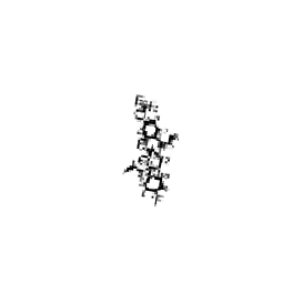 C=CC[C@]1(c2ccc(F)cc2)CCN([C@@H](CC)c2ccc(OC(F)F)cc2)C(=O)O1